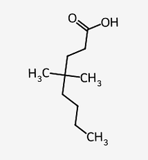 CCCCC(C)(C)CCC(=O)O